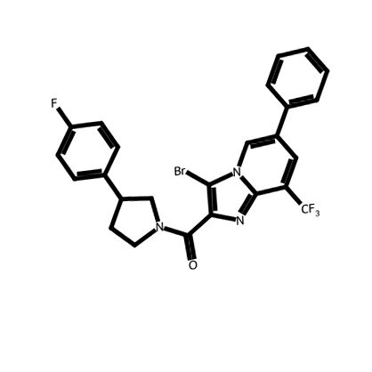 O=C(c1nc2c(C(F)(F)F)cc(-c3ccccc3)cn2c1Br)N1CCC(c2ccc(F)cc2)C1